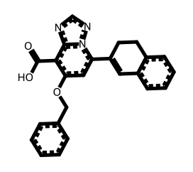 O=C(O)c1c(OCc2ccccc2)cc(C2=Cc3ccccc3CC2)n2ncnc12